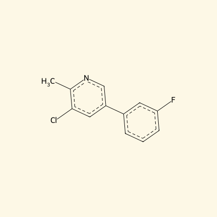 Cc1ncc(-c2cccc(F)c2)cc1Cl